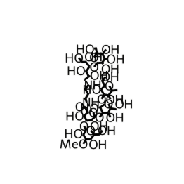 COC1C(O)C(CO)OC(OC2C(O)C(OC3C(O)C(CO)OC(OC4C(O)C(C)OC(CO)C4O)C3O)OC(C(=O)NCCCNCC(O)C(O)C(OC3OC(CO)C(O)C(O)C3O)C(O)CO)C2O)C1O